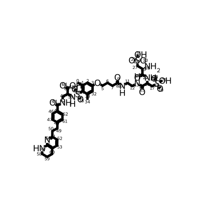 Cc1cc(OCCCC(=O)NCCNC(=O)C(CS(=O)(=O)O)NC(=O)[C@@H](N)CS(=O)(=O)O)cc(C)c1S(=O)(=O)NC(CNC(=O)c1ccc(CCc2ccc3c(n2)NCCC3)cc1)C(=O)O